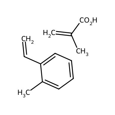 C=C(C)C(=O)O.C=Cc1ccccc1C